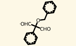 O=[C]C(C=O)(OCc1ccccc1)c1ccccc1